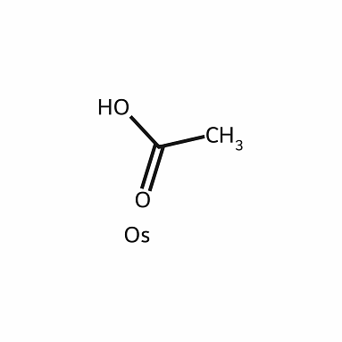 CC(=O)O.[Os]